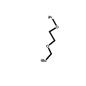 CC(C)OCCOCC(C)(C)C